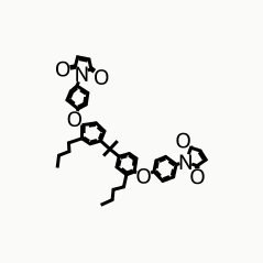 CCCCc1cc(C(C)(C)c2ccc(Oc3ccc(N4C(=O)C=CC4=O)cc3)c(CCCC)c2)ccc1Oc1ccc(N2C(=O)C=CC2=O)cc1